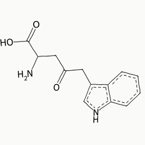 NC(CC(=O)Cc1c[nH]c2ccccc12)C(=O)O